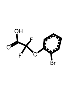 O=C(O)C(F)(F)Oc1ccccc1Br